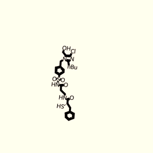 CCCCc1nc(Cl)c(CO)n1Cc1ccc(S(=O)(=O)NC(=O)CCNC(=O)[C@@H](S)Cc2ccccc2)cc1